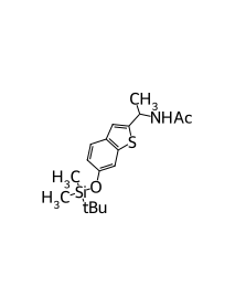 CC(=O)NC(C)c1cc2ccc(O[Si](C)(C)C(C)(C)C)cc2s1